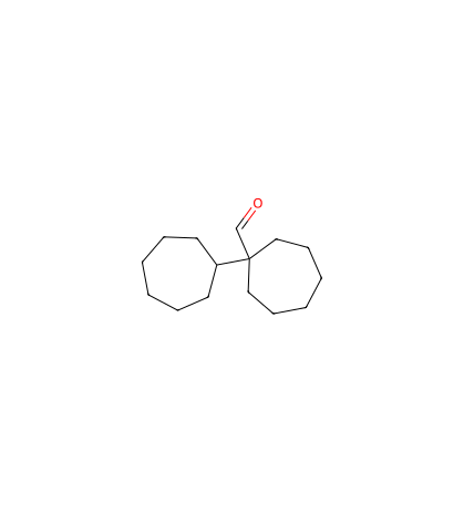 O=CC1(C2CCCCCC2)CCCCCC1